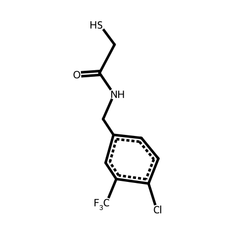 O=C(CS)NCc1ccc(Cl)c(C(F)(F)F)c1